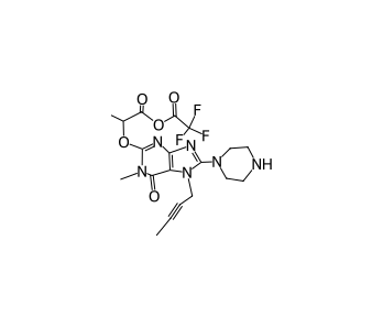 CC#CCn1c(N2CCNCC2)nc2nc(OC(C)C(=O)OC(=O)C(F)(F)F)n(C)c(=O)c21